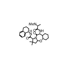 CN[C@@H](C)C(=O)N[C@@H]1C(=O)N2C(CC(C)(C)C2C(=O)N[C@@H]2CCCc3ccccc32)OC2CCCCC21